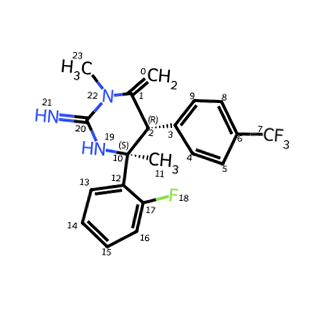 C=C1[C@H](c2ccc(C(F)(F)F)cc2)[C@@](C)(c2ccccc2F)NC(=N)N1C